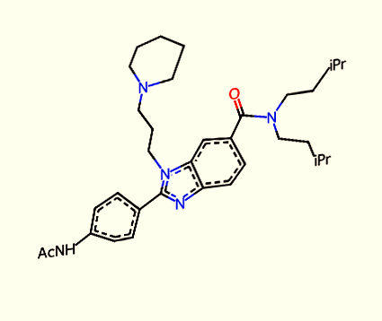 CC(=O)Nc1ccc(-c2nc3ccc(C(=O)N(CCC(C)C)CCC(C)C)cc3n2CCCN2CCCCC2)cc1